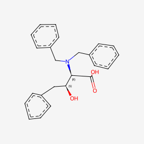 O=C(O)[C@@H]([C@@H](O)Cc1ccccc1)N(Cc1ccccc1)Cc1ccccc1